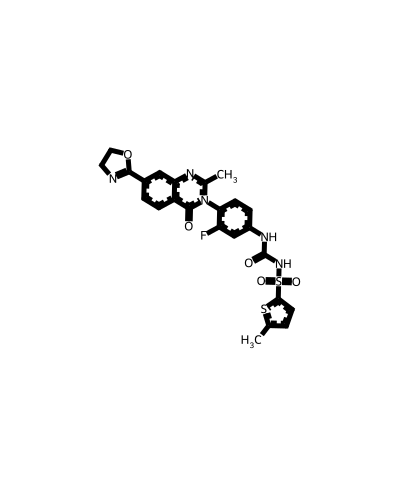 Cc1ccc(S(=O)(=O)NC(=O)Nc2ccc(-n3c(C)nc4cc(C5=NCCO5)ccc4c3=O)c(F)c2)s1